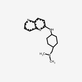 CN(C)CC1CCC(Nc2ccc3ncccc3n2)CC1